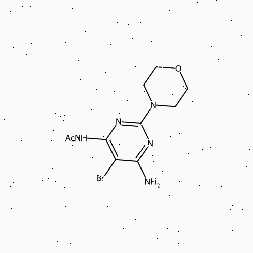 CC(=O)Nc1nc(N2CCOCC2)nc(N)c1Br